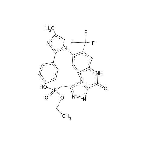 CCOP(=O)(O)Cc1nnc2c(=O)[nH]c3cc(C(F)(F)F)c(-n4cc(C)nc4-c4ccccc4)cc3n12